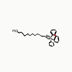 OCCCCCCCCCCCP(Br)(c1ccccc1)(c1ccccc1)c1ccccc1